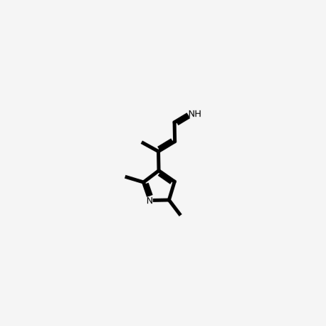 CC1=NC(C)C=C1/C(C)=C/C=N